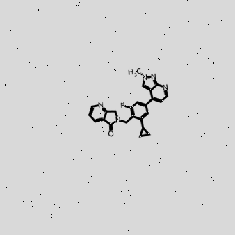 Cn1cc2c(-c3cc(F)c(CN4Cc5ncccc5C4=O)c(C4CC4)c3)ccnc2n1